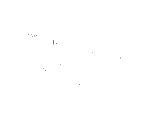 CON(C)C(=O)c1ncc(C(C)(C)C)s1